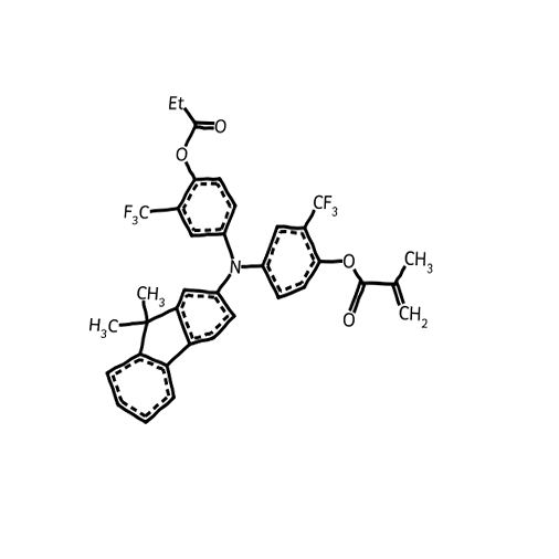 C=C(C)C(=O)Oc1ccc(N(c2ccc(OC(=O)CC)c(C(F)(F)F)c2)c2ccc3c(c2)C(C)(C)c2ccccc2-3)cc1C(F)(F)F